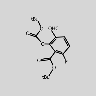 CC(C)(C)OC(=O)Oc1c(C=O)ccc(F)c1C(=O)OC(C)(C)C